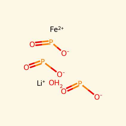 O.O=P[O-].O=P[O-].O=P[O-].[Fe+2].[Li+]